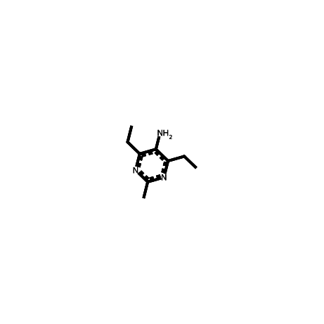 CCc1nc(C)nc(CC)c1N